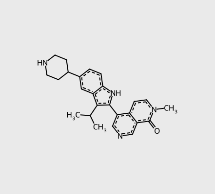 CC(C)c1c(-c2cncc3c(=O)n(C)ccc23)[nH]c2ccc(C3CCNCC3)cc12